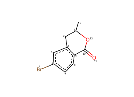 CC1Cc2cc(Br)ccc2C(=O)O1